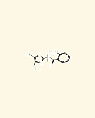 Cc1nc(NC(=O)c2ccccc2N)sc1Cl